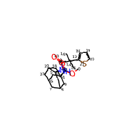 COC(=O)C12CC3CC(C1)C(NC(=O)C(C)(C)c1cccs1)C(C3)C2